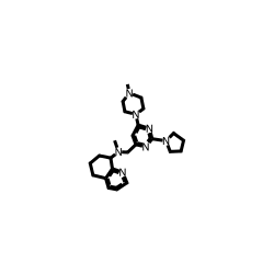 CN1CCN(c2cc(CN(C)C3CCCc4cccnc43)nc(N3CCCC3)n2)CC1